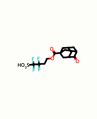 O=C1C2CC3CC1CC(C(=O)OCCC(F)(F)C(F)(F)S(=O)(=O)O)(C3)C2